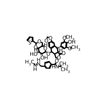 CNNCc1ccc(C(=O)NC(C)C)cc1.COc1cc([C@@H]2c3cc4c(cc3C(O[C@@H]3O[C@@H]5COC(c6cccs6)O[C@H]5[C@H](O)[C@H]3O)C3COC(=O)[C@@H]32)OCO4)cc(OC)c1O